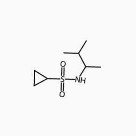 CC(C)C(C)NS(=O)(=O)C1CC1